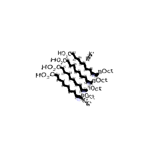 CCCCCCCC/C=C\CCCCCCCC(=O)O.CCCCCCCC/C=C\CCCCCCCC(=O)O.CCCCCCCC/C=C\CCCCCCCC(=O)O.CCCCCCCC/C=C\CCCCCCCC(=O)O.[K+].[K+].[K+].[K+].[K+]